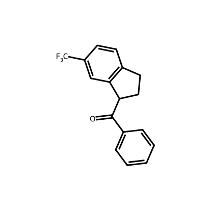 O=C(c1ccccc1)C1CCc2ccc(C(F)(F)F)cc21